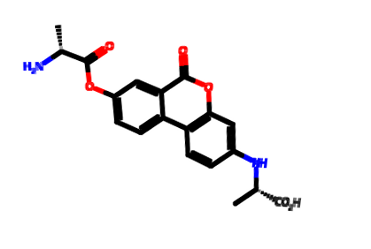 C[C@H](Nc1ccc2c(c1)oc(=O)c1cc(OC(=O)[C@@H](C)N)ccc12)C(=O)O